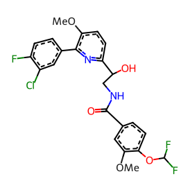 COc1cc(C(=O)NCC(O)c2ccc(OC)c(-c3ccc(F)c(Cl)c3)n2)ccc1OC(F)F